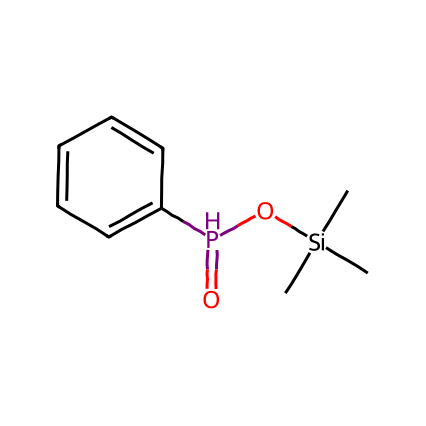 C[Si](C)(C)O[PH](=O)c1ccccc1